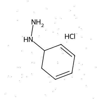 Cl.NNC1C=CC=CC1